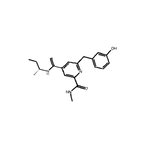 C=C(N[C@H](C)CC)c1cc(Cc2cccc(O)c2)nc(C(=O)NC)c1